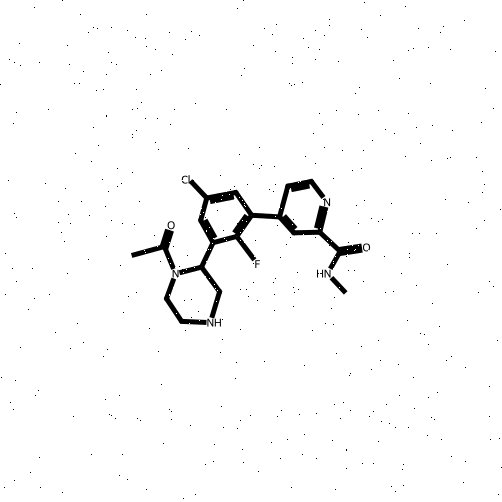 CNC(=O)c1cc(-c2cc(Cl)cc(C3CNCCN3C(C)=O)c2F)ccn1